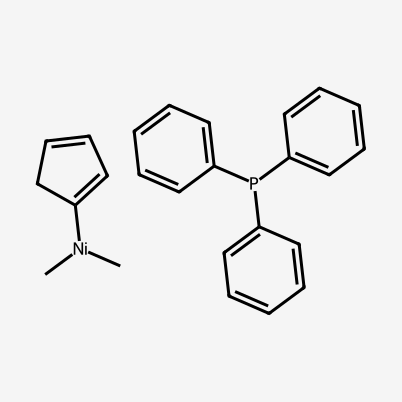 [CH3][Ni]([CH3])[C]1=CC=CC1.c1ccc(P(c2ccccc2)c2ccccc2)cc1